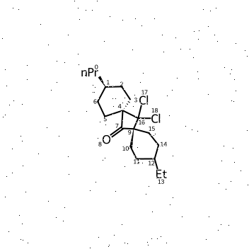 CCC[C@H]1CC[C@@]2(CC1)C(=O)[C@]1(CCC(CC)CC1)C2(Cl)Cl